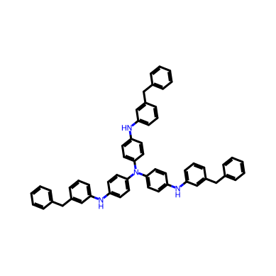 c1ccc(Cc2cccc(Nc3ccc(N(c4ccc(Nc5cccc(Cc6ccccc6)c5)cc4)c4ccc(Nc5cccc(Cc6ccccc6)c5)cc4)cc3)c2)cc1